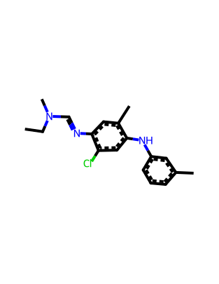 CCN(C)C=Nc1cc(C)c(Nc2cccc(C)c2)cc1Cl